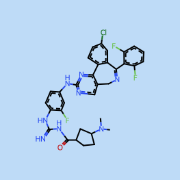 CN(C)C1CCC(C(=O)NC(=N)Nc2ccc(Nc3ncc4c(n3)-c3ccc(Cl)cc3C(c3c(F)cccc3F)=NC4)cc2F)C1